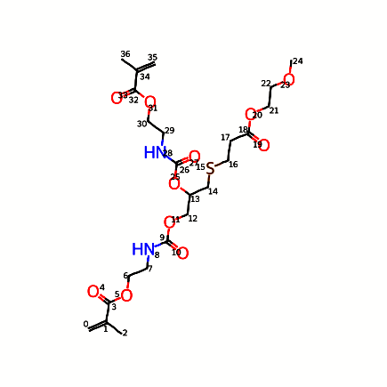 C=C(C)C(=O)OCCNC(=O)OCC(CSCCC(=O)OCCOC)OC(=O)NCCOC(=O)C(=C)C